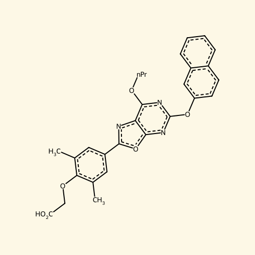 CCCOc1nc(Oc2ccc3ccccc3c2)nc2oc(-c3cc(C)c(OCC(=O)O)c(C)c3)nc12